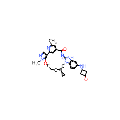 Cc1cc2cc(n1)-c1cnn(C)c1OCCC[C@@H](C1CC1)CN1/C(=N/C2=O)Nc2cc(NC3CC(=O)C3)ccc21